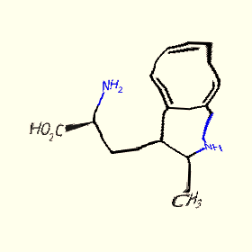 CC1Nc2ccccc2C1C[C@H](N)C(=O)O